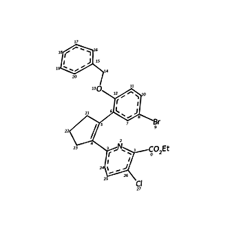 CCOC(=O)c1nc(C2=C(c3cc(Br)ccc3OCc3ccccc3)CCC2)ccc1Cl